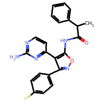 CC(C(=O)Nc1onc(-c2ccc(F)cc2)c1-c1ccnc(N)n1)c1ccccc1